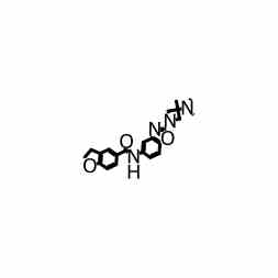 CN(C)C1(C)CN(c2nc3cc(NC(=O)c4ccc5c(c4)CCO5)ccc3o2)C1